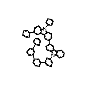 c1ccc(-c2cccc(-c3cccc(-c4cccc(-n5c6ccccc6c6cc(-c7ccc8c(c7)c7cc(-c9ccccc9)ccc7n8-c7ccccc7)ccc65)c4)c3)c2)cc1